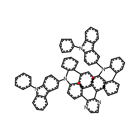 c1ccc(-c2ccccc2N(c2ccc(-c3nccnc3-c3ccc(N(c4ccc5c(c4)c4ccccc4n5-c4ccccc4)c4ccccc4-c4ccccc4)cc3)cc2)c2ccc3c(c2)c2ccccc2n3-c2ccccc2)cc1